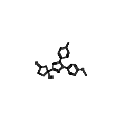 COc1ccc(-n2nc(C3(O)CCC(=O)C3)cc2-c2ccc(C)cc2)cc1